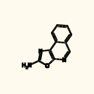 Nc1nc2c(ncc3ccccc32)o1